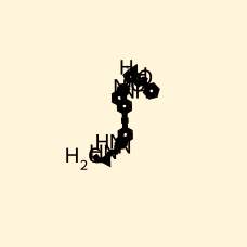 C=CC1CC1NCc1nc2ccc(C#Cc3ccc4c(ccc5nc([C@@H]6C[C@H]7C[C@H]7N6OC(=O)c6ccccc6)[nH]c54)c3)cc2[nH]1